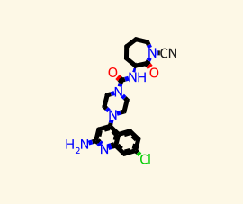 N#CN1CCCC[C@H](NC(=O)N2CCN(c3cc(N)nc4cc(Cl)ccc34)CC2)C1=O